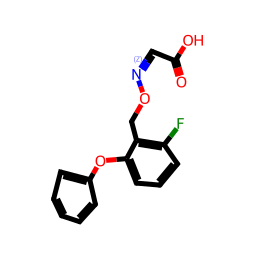 O=C(O)/C=N\OCc1c(F)cccc1Oc1ccccc1